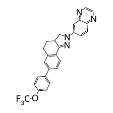 FC(F)(F)Oc1ccc(-c2ccc3c(c2)CCC2CN(c4ccc5nccnc5c4)N=C32)cc1